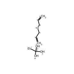 C=CCOCC=C.CCC(O)(O)O